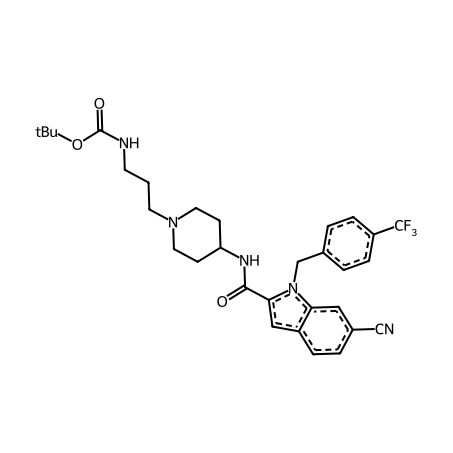 CC(C)(C)OC(=O)NCCCN1CCC(NC(=O)c2cc3ccc(C#N)cc3n2Cc2ccc(C(F)(F)F)cc2)CC1